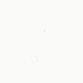 OCC=CCCCCCCCc1ccccc1